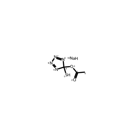 CC(=O)OC1(S)N=NN=N1.[NaH]